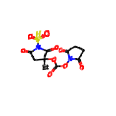 CCC1(OC(=O)ON2C(=O)CCC2=O)CC(=O)N([SH](=O)=O)C1=O